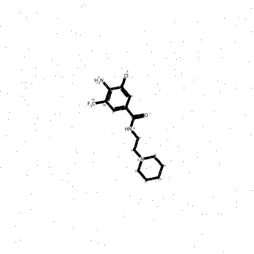 Nc1c(Cl)cc(C(=O)NCCN2CCCCC2)cc1C(F)(F)F